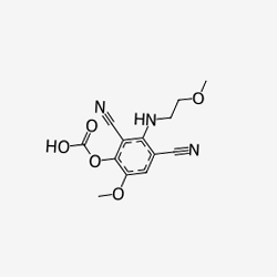 COCCNc1c(C#N)cc(OC)c(OC(=O)O)c1C#N